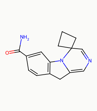 NC(=O)c1ccc2c(c1)N1C(=CN=CC13CCC3)C2